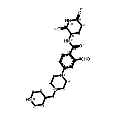 O=Cc1cc(N2CCN(CC3CCNCC3)CC2)ccc1C(=O)NC1CCC(=O)NC1=O